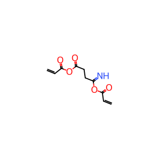 C=CC(=O)OC(=N)CCC(=O)OC(=O)C=C